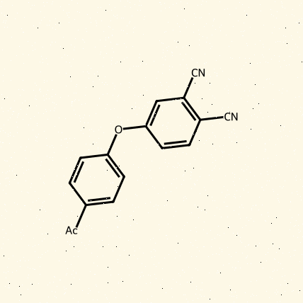 CC(=O)c1ccc(Oc2ccc(C#N)c(C#N)c2)cc1